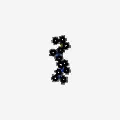 C1=CC2c3ccc(N(C4=CCC(c5ccc(N(C6=CC=C(c7cccc8c7sc7c(-c9ccccc9)cccc78)CC6)c6ccccc6)cc5)c5ccccc54)c4ccccc4)cc3N(c3ccccc3)C2C=C1